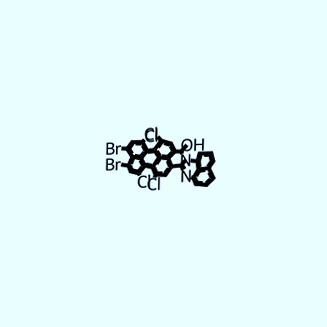 OC1c2cc(Cl)c3c4c(Cl)cc(Br)c5c(Br)cc(Cl)c(c6c(Cl)cc(c2c63)C2=Nc3cccc6cccc(c36)N21)c54